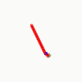 COCCOCCOCCOCCOCCOCCOCCOCCOCCOCCOCCOCCOCCOCCOCCOCCOCCOCCOCCOCCOCCOCCOCCOCCn1cc(COCc2cc(OC)c(Br)c(OC)c2)nn1